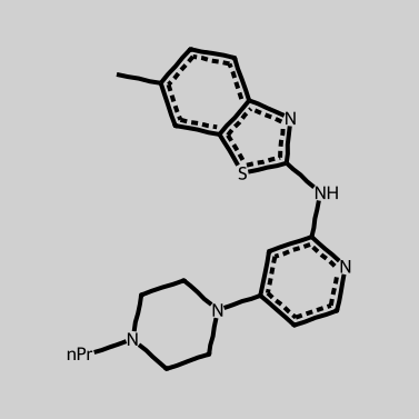 CCCN1CCN(c2ccnc(Nc3nc4ccc(C)cc4s3)c2)CC1